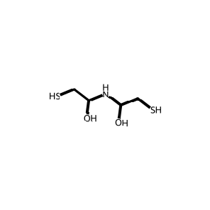 OC(CS)NC(O)CS